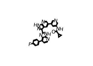 O=C(Nc1cncc(-c2cnc3[nH]nc(-c4nc5c(-c6ccc(F)cc6)ccnc5[nH]4)c3c2)c1)C1CC1